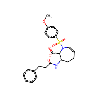 COc1ccc(S(=O)(=O)N2C=CCCC(NC(=O)CCc3ccccc3)C2C(=O)O)cc1